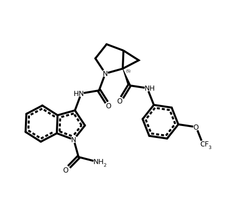 NC(=O)n1cc(NC(=O)N2CCC3C[C@@]32C(=O)Nc2cccc(OC(F)(F)F)c2)c2ccccc21